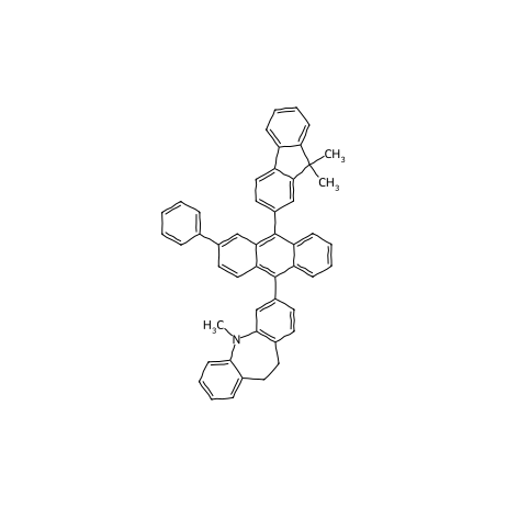 CN1c2ccccc2CCc2ccc(-c3c4ccccc4c(-c4ccc5c(c4)C(C)(C)c4ccccc4-5)c4cc(-c5ccccc5)ccc34)cc21